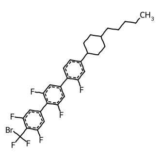 CCCCCC1CCC(c2ccc(-c3cc(F)c(-c4cc(F)c(C(F)(F)Br)c(F)c4)c(F)c3)c(F)c2)CC1